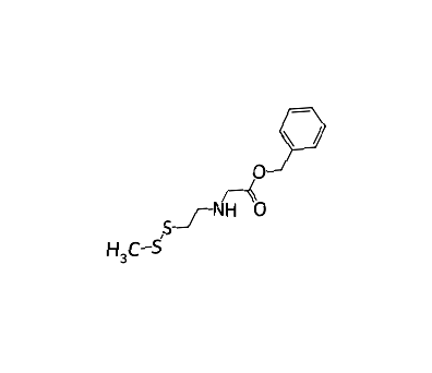 CSSCCNCC(=O)OCc1ccccc1